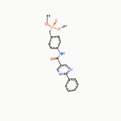 CCOP(=O)(Cc1ccc(NC(=O)c2cnc(-c3ccccc3)nc2)cc1)OCC